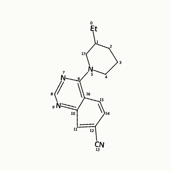 CCC1CCCN(c2ncnc3cc(C#N)ccc23)C1